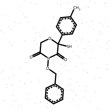 Cc1ccc(C2(S)OCC(=O)N(OCc3ccccc3)C2=O)cc1